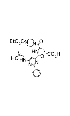 CCOC(=O)N1CCN(C(=O)C(CCC(=O)O)NC(=O)c2cc(NC[C@H](C)O)nc(-c3ccccc3)n2)CC1